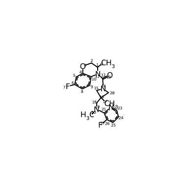 CC1COc2cc(F)ccc2N1C(=O)N1CC(C)(CN(C)c2ncccc2F)C1